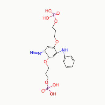 [N-]=[N+]=C1C=C(OCCCOP(=O)(O)O)C(Nc2ccccc2)=CC1OCCCOP(=O)(O)O